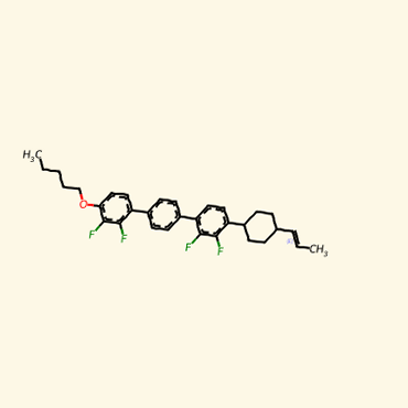 C/C=C/C1CCC(c2ccc(-c3ccc(-c4ccc(OCCCCC)c(F)c4F)cc3)c(F)c2F)CC1